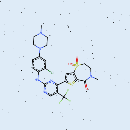 CN1CCN(c2ccc(Nc3ncc(C(F)(F)F)c(-c4cc5c(s4)C(=O)N(C)CCS5(=O)=O)n3)c(Cl)c2)CC1